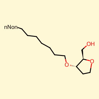 CCCCCCCCCCCCCCCCO[C@H]1CCO[C@@H]1CO